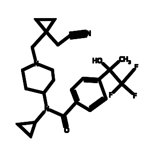 CC(O)(c1ccc(C(=O)N(C2CC2)C2CCN(CC3(CC#N)CC3)CC2)cc1)C(F)(F)F